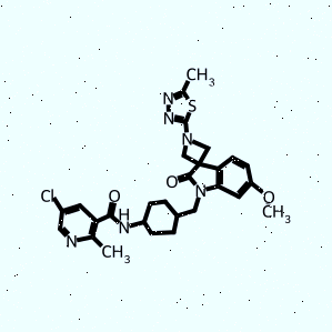 COc1ccc2c(c1)N(CC1CCC(NC(=O)c3cc(Cl)cnc3C)CC1)C(=O)C21CN(c2nnc(C)s2)C1